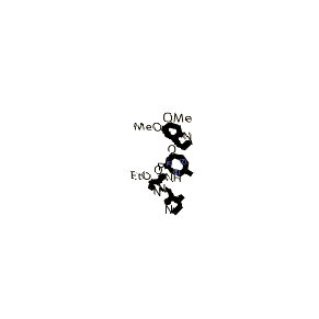 CCOc1cnn(Cc2cnccc2C)c1C(=O)NC1=C/C(C)/C=C\C(Oc2ccnc3cc(OC)c(OC)cc23)/C=C\1F